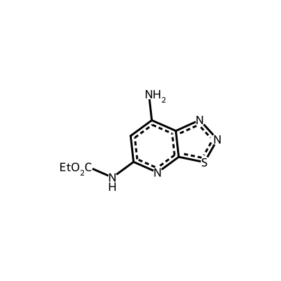 CCOC(=O)Nc1cc(N)c2nnsc2n1